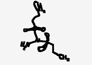 CCCS(=O)(=O)N(N)S(=O)(=O)CCC